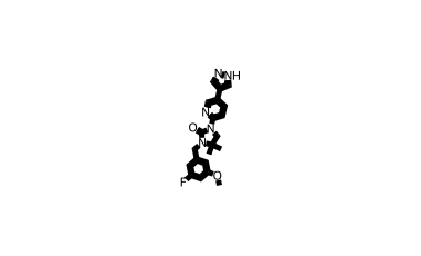 COc1cc(F)cc(CN2C(=O)N(c3ccc(-c4cn[nH]c4)cn3)CC2(C)C)c1